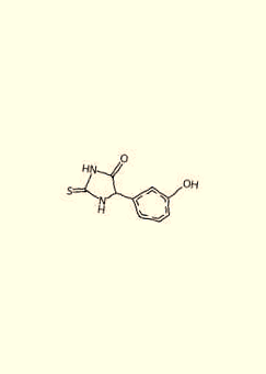 O=C1NC(=S)NC1c1cccc(O)c1